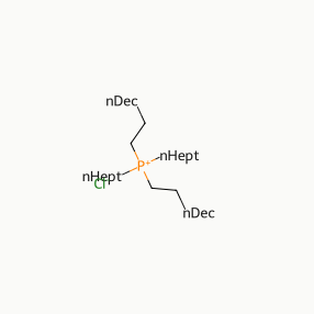 CCCCCCCCCCCC[P+](CCCCCCC)(CCCCCCC)CCCCCCCCCCCC.[Cl-]